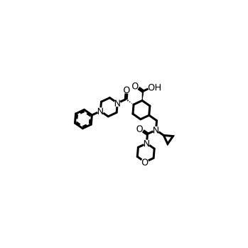 O=C(O)[C@H]1CC(CN(C(=O)N2CCOCC2)C2CC2)CC[C@@H]1C(=O)N1CCN(c2ccccc2)CC1